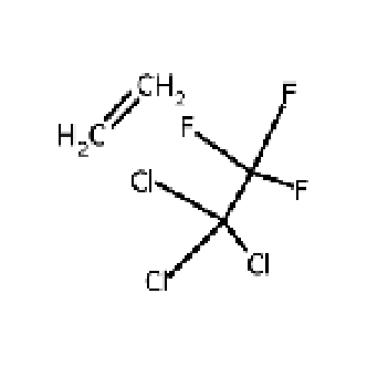 C=C.FC(F)(F)C(Cl)(Cl)Cl